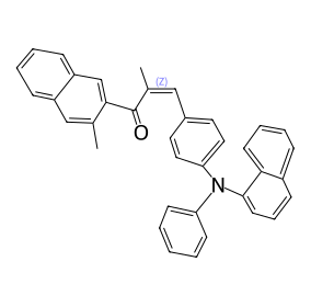 C/C(=C/c1ccc(N(c2ccccc2)c2cccc3ccccc23)cc1)C(=O)c1cc2ccccc2cc1C